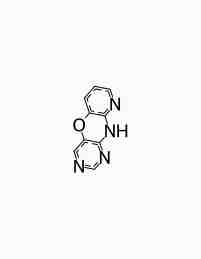 c1cnc2c(c1)Oc1cncnc1N2